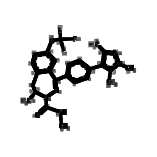 CNC(=O)N1N=C(c2ccc(-c3c(C)nn(C)c3C)cc2)c2cc(OC(F)(F)F)ccc2C[C@@H]1C